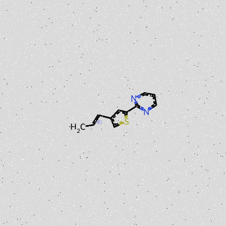 [CH2]/C=C/c1csc(-c2ncccn2)c1